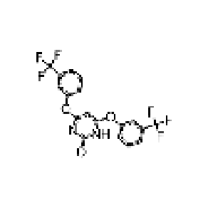 O=c1nc(Oc2cccc(C(F)(F)F)c2)cc(Oc2cccc(C(F)(F)F)c2)[nH]1